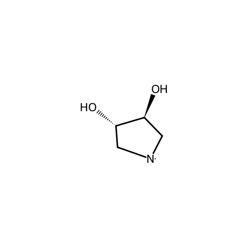 O[C@H]1C[N]C[C@@H]1O